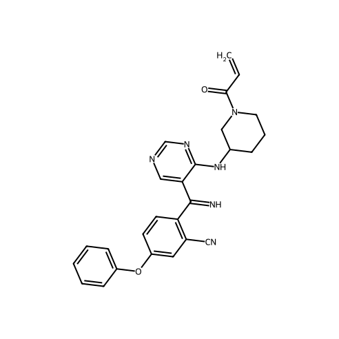 C=CC(=O)N1CCCC(Nc2ncncc2C(=N)c2ccc(Oc3ccccc3)cc2C#N)C1